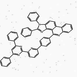 c1ccc(-c2cc(-c3ccccc3)nc(-c3cccc(-c4ccc(-c5nc6ccccc6c6ccc7c(nc(-c8ccccc8)n7-c7ccccc7)c56)cc4)n3)n2)cc1